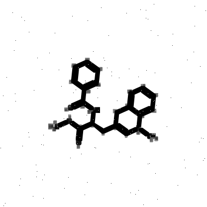 COC(=O)[C@H](CC1=CN(C)c2ccccc2C1)NC(=O)c1ccccc1